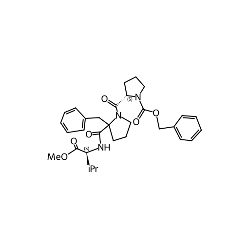 COC(=O)[C@@H](NC(=O)C1(Cc2ccccc2)CCCN1C(=O)[C@@H]1CCCN1C(=O)OCc1ccccc1)C(C)C